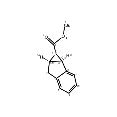 CC(C)(C)OC(=O)N1[C@@H]2Cc3ccccc3[C@@H]21